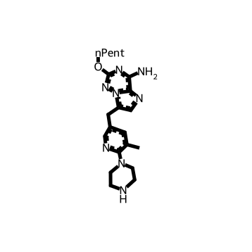 CCCCCOc1nc(N)c2ncc(Cc3cnc(N4CCNCC4)c(C)c3)n2n1